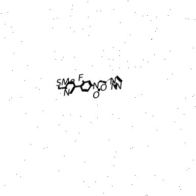 CSCc1ccc(-c2ccc(N3C[C@H](Cn4ccnn4)OC3=O)cc2F)cn1